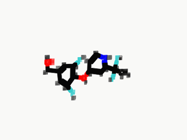 CC(F)(F)c1cc(Oc2c(F)cc(CO)cc2F)ccn1